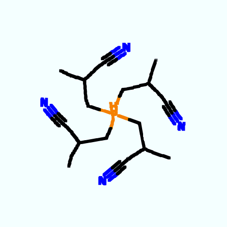 CC(C#N)C[PH](CC(C)C#N)(CC(C)C#N)CC(C)C#N